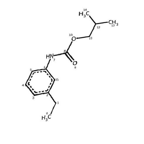 CCc1c[c]cc(NC(=O)OCC(C)C)c1